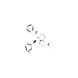 COC(=O)N1CC[C@@H]2[C@H]1CCC[C@]2(C#Cc1cccc(C)c1)OC(=O)c1ccccc1